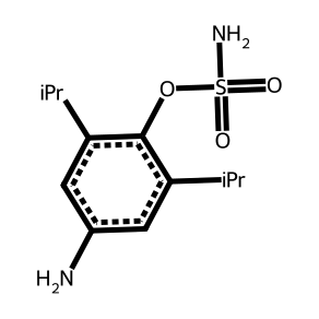 CC(C)c1cc(N)cc(C(C)C)c1OS(N)(=O)=O